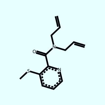 C=CCN(CC=C)C(=O)c1ncccc1SC